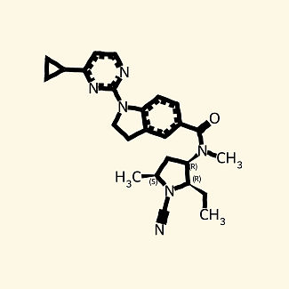 CC[C@@H]1[C@H](N(C)C(=O)c2ccc3c(c2)CCN3c2nccc(C3CC3)n2)C[C@H](C)N1C#N